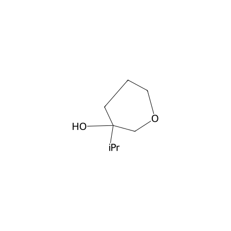 CC(C)C1(O)CCCOC1